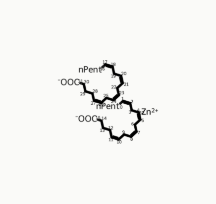 CCCCC/C=C\C/C=C\C/C=C\C/C=C\CCCC(=O)[O-].CCCCC/C=C\C/C=C\C/C=C\C/C=C\CCCC(=O)[O-].[Zn+2]